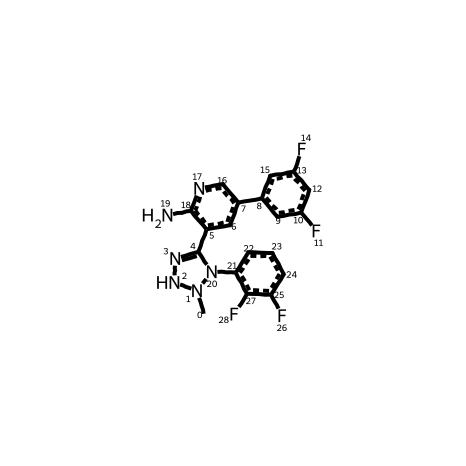 CN1NN=C(c2cc(-c3cc(F)cc(F)c3)cnc2N)N1c1cccc(F)c1F